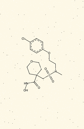 CN(CCOc1ccc(Cl)cc1)S(=O)(=O)CC1(C(=O)NO)CCOCC1